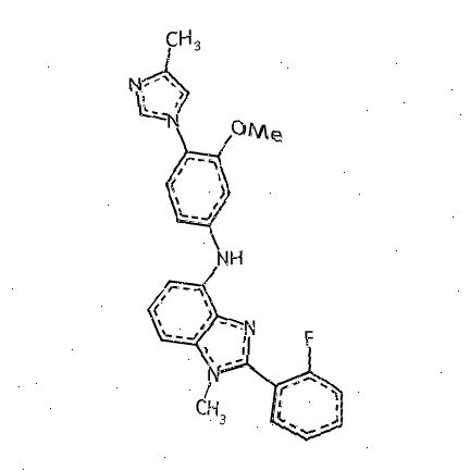 COc1cc(Nc2cccc3c2nc(-c2ccccc2F)n3C)ccc1-n1cnc(C)c1